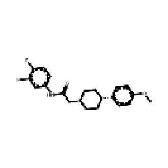 COc1ccc([C@H]2CC[C@H](CC(=O)Nc3ccc(F)c(F)c3)CC2)cc1